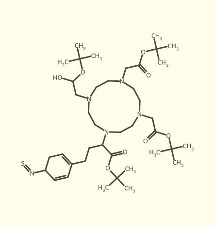 CC(C)(C)OC(=O)CN1CCN(CC(=O)OC(C)(C)C)CCN(C(CCC2=CCC(N=S)C=C2)C(=O)OC(C)(C)C)CCN(CC(O)OC(C)(C)C)CC1